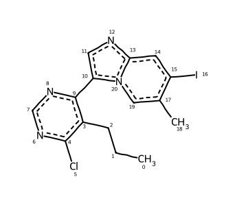 CCCc1c(Cl)ncnc1-c1cnc2cc(I)c(C)cn12